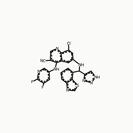 N#Cc1cnc2c(Cl)cc(NC(c3c[nH]nn3)c3cccc4ncsc34)cc2c1Nc1cnc(F)c(F)c1